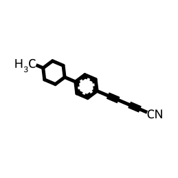 CC1CCC(c2ccc(C#CC#CC#N)cc2)CC1